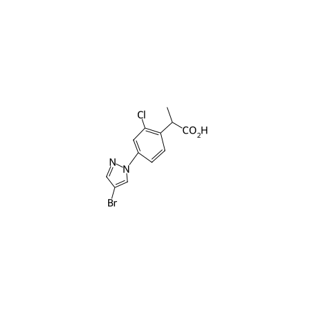 CC(C(=O)O)c1ccc(-n2cc(Br)cn2)cc1Cl